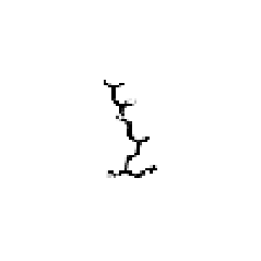 C=C=CC(CCC(C)CCOC(=O)C=C(C)C)C(C)C